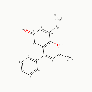 CC1C=C(c2ccccc2)C2=C(O1)C(CC(=O)O)=CC(=O)C2